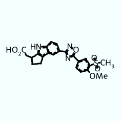 COc1ccc(-c2nc(-c3ccc4[nH]c5c(c4c3)CCC5CC(=O)O)no2)cc1S(C)(=O)=O